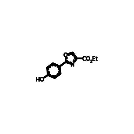 CCOC(=O)c1coc(-c2ccc(O)cc2)n1